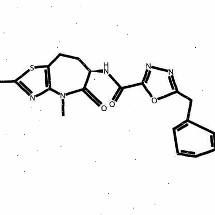 Cc1nc2c(s1)CC[C@@H](NC(=O)c1nnc(Cc3ccccc3)o1)C(=O)N2C